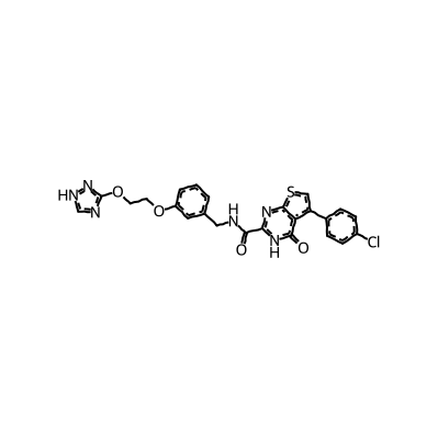 O=C(NCc1cccc(OCCOc2nc[nH]n2)c1)c1nc2scc(-c3ccc(Cl)cc3)c2c(=O)[nH]1